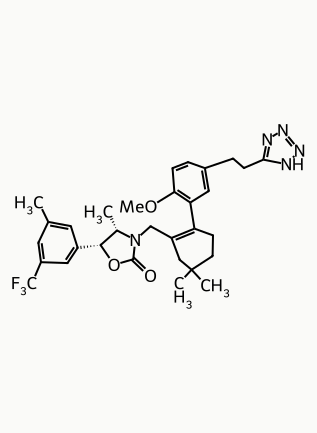 COc1ccc(CCc2nnn[nH]2)cc1C1=C(CN2C(=O)O[C@H](c3cc(C)cc(C(F)(F)F)c3)[C@@H]2C)CC(C)(C)CC1